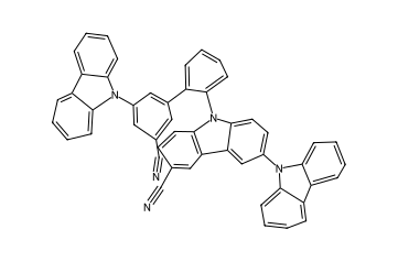 N#Cc1cc(-c2ccccc2-n2c3ccc(C#N)cc3c3cc(-n4c5ccccc5c5ccccc54)ccc32)cc(-n2c3ccccc3c3ccccc32)c1